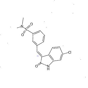 CN(C)S(=O)(=O)c1cccc(/C=C2/C(=O)Nc3cc(Cl)ccc32)c1